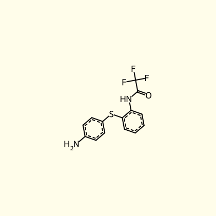 Nc1ccc(Sc2ccccc2NC(=O)C(F)(F)F)cc1